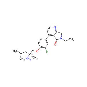 CCN1Cc2nccc(-c3ccc(OC[C@@](C)(N)CC(C)C)c(F)c3)c2C1=O